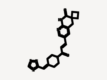 O=C(/C=C/c1cnc2c(c1)CC1(CCC1)C(=O)N2)N1CCC(=Cc2ncsn2)CC1